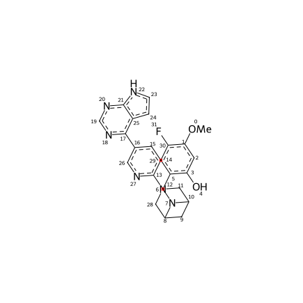 COc1cc(O)c(CN2C3CC2CN(c2ccc(-c4ncnc5[nH]ccc45)cn2)C3)cc1F